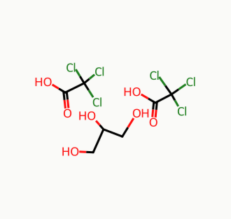 O=C(O)C(Cl)(Cl)Cl.O=C(O)C(Cl)(Cl)Cl.OCC(O)CO